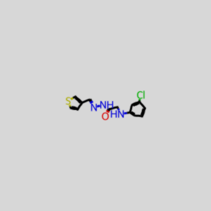 O=C(CNc1cccc(Cl)c1)N/N=C/c1ccsc1